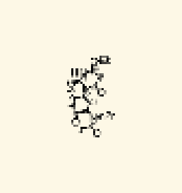 CCCN1C(=O)COc2cc(F)c(-n3c(=O)nc(OCC)[nH]c3=O)cc21